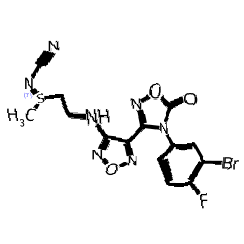 C/S(CCNc1nonc1-c1noc(=O)n1-c1ccc(F)c(Br)c1)=N/C#N